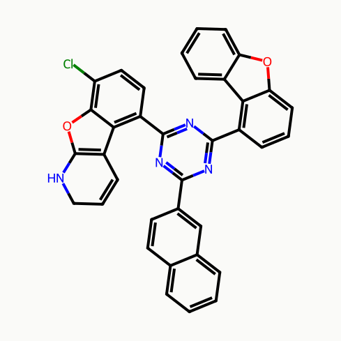 Clc1ccc(-c2nc(-c3ccc4ccccc4c3)nc(-c3cccc4oc5ccccc5c34)n2)c2c3c(oc12)NCC=C3